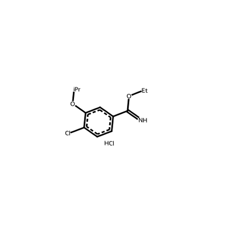 CCOC(=N)c1ccc(Cl)c(OC(C)C)c1.Cl